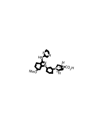 COc1ccc2c(Nc3cnccn3)nn(-c3cccc(N4C[C@@H]5C[C@H]4CN5C(=O)O)c3)c2c1